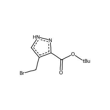 CC(C)(C)OC(=O)c1n[nH]cc1CBr